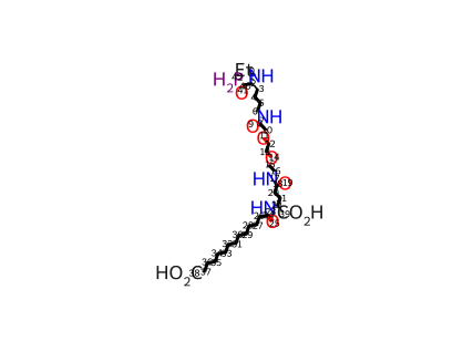 CCN[C@@H](CCCCNC(=O)COCCOCCNC(=O)CC[C@H](NC(=O)CCCCCCCCCCCCC(=O)O)C(=O)O)C(=O)P